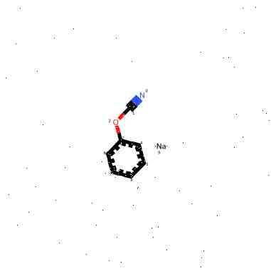 N#COc1ccccc1.[Na]